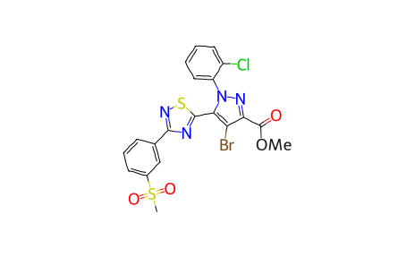 COC(=O)c1nn(-c2ccccc2Cl)c(-c2nc(-c3cccc(S(C)(=O)=O)c3)ns2)c1Br